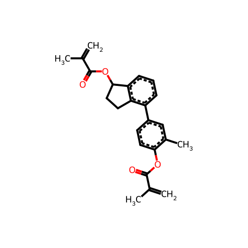 C=C(C)C(=O)Oc1ccc(-c2cccc3c2CCC3OC(=O)C(=C)C)cc1C